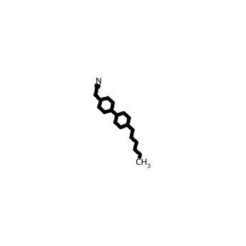 CCCCCCC1CCC(C2CCC(CC#N)CC2)CC1